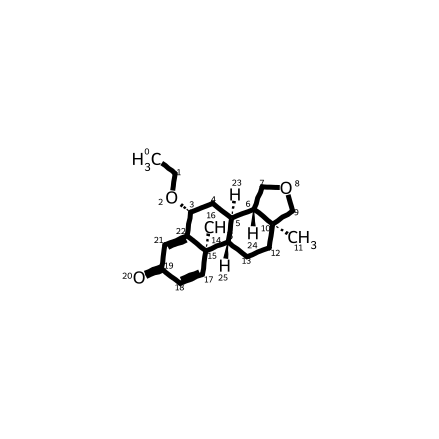 CCO[C@@H]1C[C@H]2[C@@H]3COC[C@@]3(C)CC[C@@H]2[C@@]2(C)C=CC(=O)C=C12